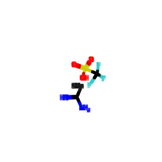 CSC(=N)N.O=S(=O)(O)C(F)(F)F